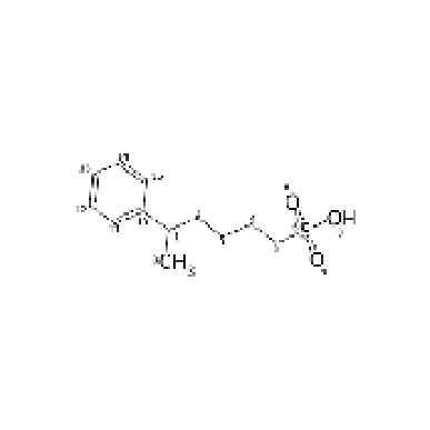 CC(CCCCS(=O)(=O)O)c1ccccc1